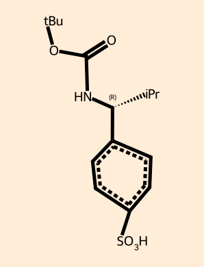 CC(C)[C@@H](NC(=O)OC(C)(C)C)c1ccc(S(=O)(=O)O)cc1